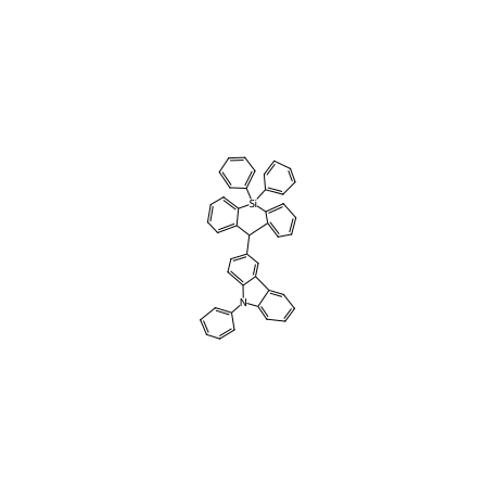 c1ccc(-n2c3ccccc3c3cc(C4c5ccccc5[Si](c5ccccc5)(c5ccccc5)c5ccccc54)ccc32)cc1